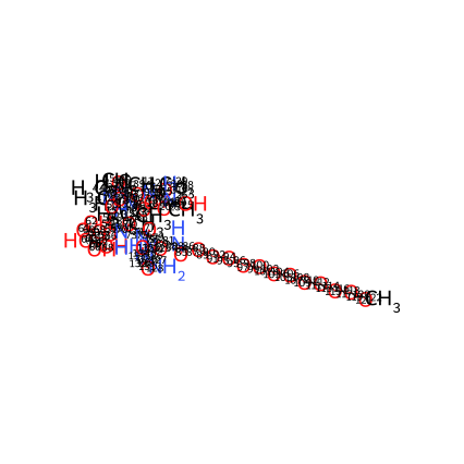 CC[C@H](C)[C@@H]([C@@H](CC(=O)N1CCC[C@H]1[C@H](OC)[C@@H](C)C(=O)N[C@H](C)[C@@H](O)c1ccccc1)OC)N(C)C(=O)[C@@H](NC(=O)[C@H](C(C)C)N(C)C(=O)OCc1ccc(O[C@@H]2O[C@H](C(=O)O)[C@@H](O)[C@H](O)[C@H]2O)c(NC(=O)CCNC(=O)[C@H](CCCCNC(=O)CCOCCOCCOCCOCCOCCOCCOCCOCCOCCOCCOCCOC)NC(=O)C(CN)N2C(=O)C=CC2=O)c1)C(C)C